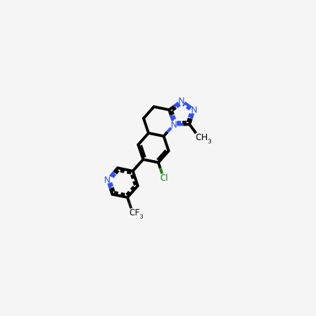 Cc1nnc2n1C1C=C(Cl)C(c3cncc(C(F)(F)F)c3)=CC1CC2